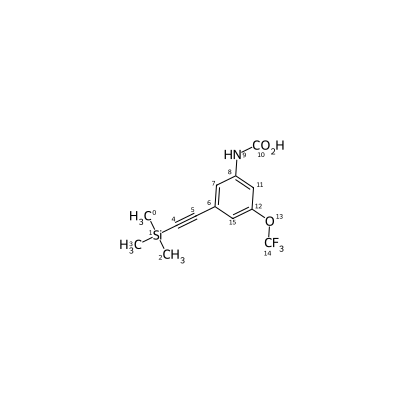 C[Si](C)(C)C#Cc1cc(NC(=O)O)cc(OC(F)(F)F)c1